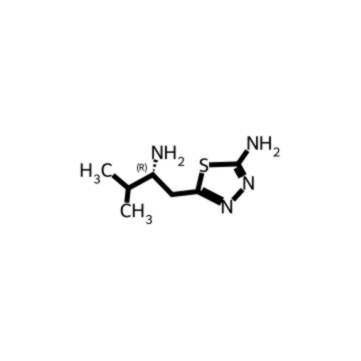 CC(C)[C@H](N)Cc1nnc(N)s1